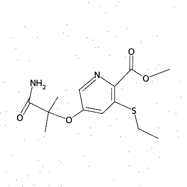 CCSc1cc(OC(C)(C)C(N)=O)cnc1C(=O)OC